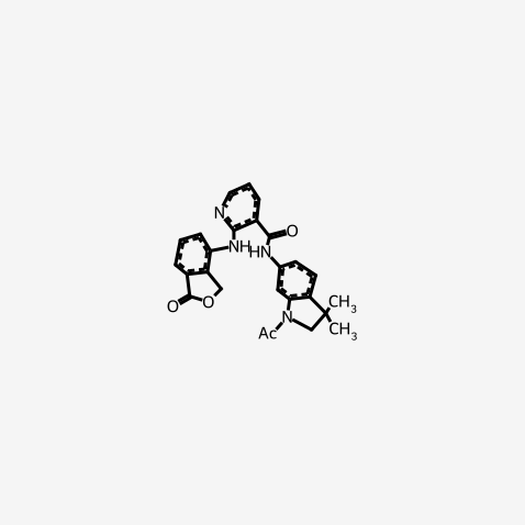 CC(=O)N1CC(C)(C)c2ccc(NC(=O)c3cccnc3Nc3cccc4c3COC4=O)cc21